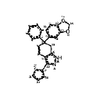 C1=CC(c2ccccc2)(c2ccc3c(c2)OCO3)Cc2[nH]nc(-c3cccs3)c21